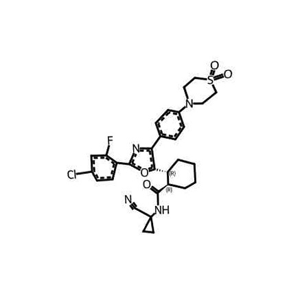 N#CC1(NC(=O)[C@@H]2CCCC[C@H]2c2oc(-c3ccc(Cl)cc3F)nc2-c2ccc(N3CCS(=O)(=O)CC3)cc2)CC1